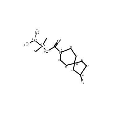 CC[S@@+]([O-])[N+](C)(C)OC(=O)N1CCC2(CCC(F)C2)CC1